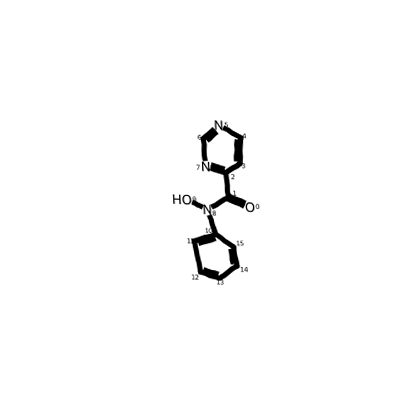 O=C(c1ccncn1)N(O)c1ccccc1